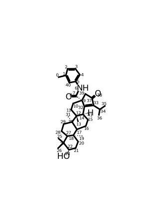 Cc1cccc(NC(=O)[C@@]23CC[C@]4(C)[C@H](CCC5[C@@]6(C)CC[C@H](O)C(C)(C)C6CC[C@]54C)C2=C(C(C)C)C(=O)C3)c1